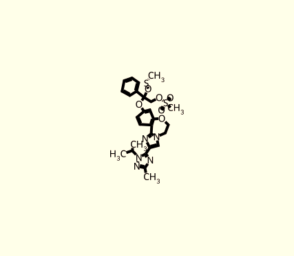 CSOC(COS(C)(=O)=O)(Oc1ccc2c(c1)OCCn1cc(-c3nc(C)nn3C(C)C)nc1-2)c1ccccc1